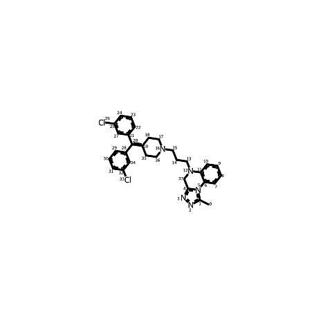 Cc1nnc2n1-c1ccccc1N(CCCN1CCC(=C(c3cccc(Cl)c3)c3cccc(Cl)c3)CC1)C2